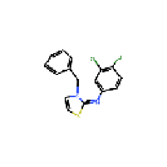 Clc1ccc(N=c2sccn2Cc2ccccc2)cc1Cl